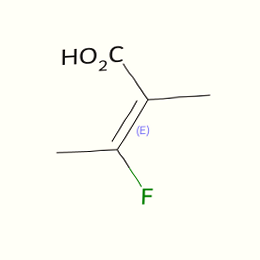 C/C(F)=C(/C)C(=O)O